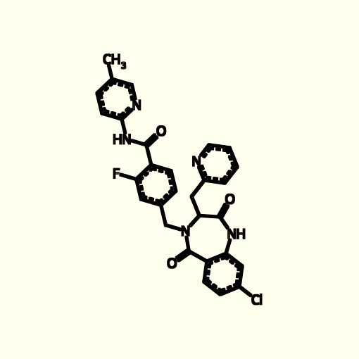 Cc1ccc(NC(=O)c2ccc(CN3C(=O)c4ccc(Cl)cc4NC(=O)C3Cc3ccccn3)cc2F)nc1